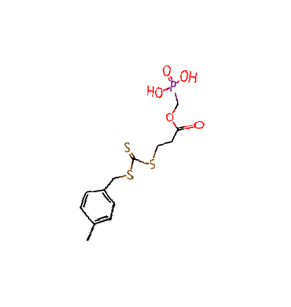 Cc1ccc(CSC(=S)SCCC(=O)OCP(=O)(O)O)cc1